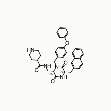 O=C(NC[C@H]1C(=O)N[C@@H](Cc2ccc3ccccc3c2)C(=O)N1Cc1ccc(Oc2ccccc2)cc1)C1CCNCC1